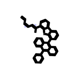 C=C/C=C\C=C(/C)c1cccc2c1sc1c(-c3c4ccccc4c(-c4ccccc4)c4ccccc34)cccc12